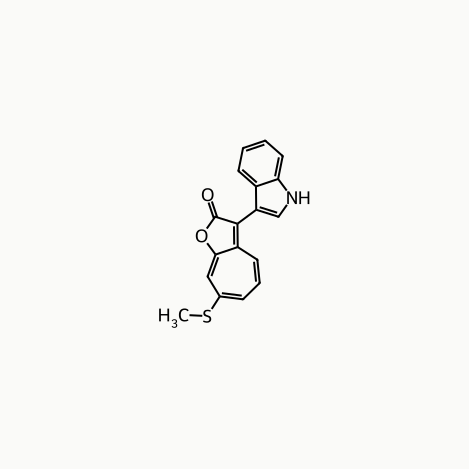 CSc1cccc2c(-c3c[nH]c4ccccc34)c(=O)oc-2c1